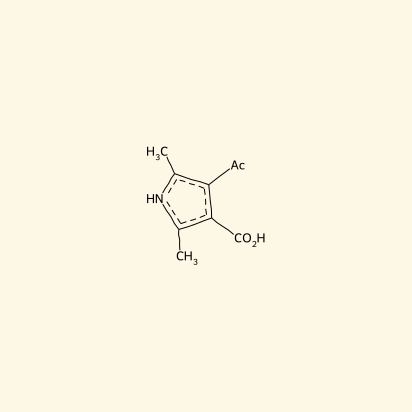 CC(=O)c1c(C)[nH]c(C)c1C(=O)O